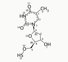 Cc1cn([C@H]2CC(O)[C@@H](COS)O2)c(=O)[nH]c1=O